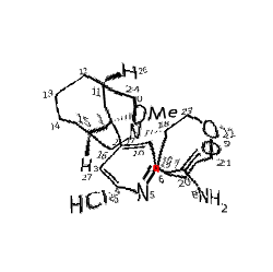 CO[C@@]1(c2ccnc(C(N)=O)c2)[C@@H]2CCC[C@H]1CN([C@H]1CCCOC1)C2.Cl